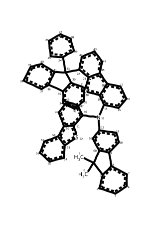 CC1(C)c2ccccc2-c2ccc(N(c3cccc4c3oc3c(C5(c6ccccc6)c6ccccc6-c6ccccc65)cccc34)c3cccc4c3sc3ccccc34)cc21